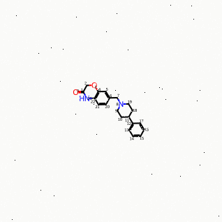 O=C1COc2cc(CN3CCC(c4ccccc4)CC3)ccc2N1